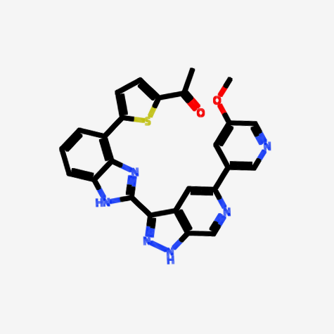 COc1cncc(-c2cc3c(-c4nc5c(-c6ccc(C(C)=O)s6)cccc5[nH]4)n[nH]c3cn2)c1